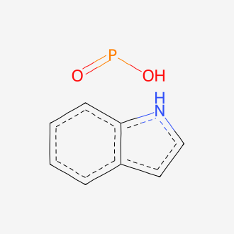 O=PO.c1ccc2[nH]ccc2c1